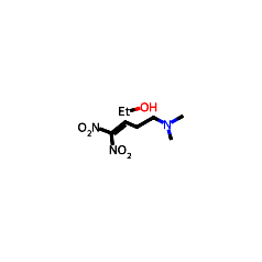 CCO.CN(C)CCC=C([N+](=O)[O-])[N+](=O)[O-]